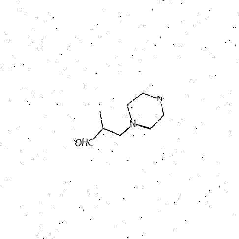 CC(C=O)CN1CC[N]CC1